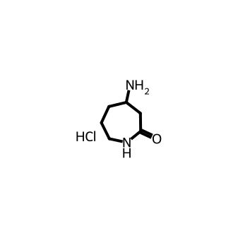 Cl.NC1CCCNC(=O)C1